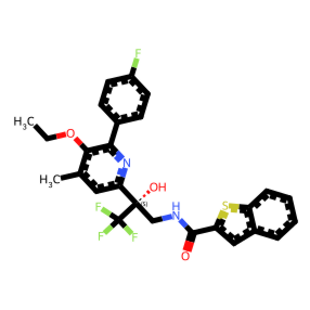 CCOc1c(C)cc([C@@](O)(CNC(=O)c2cc3ccccc3s2)C(F)(F)F)nc1-c1ccc(F)cc1